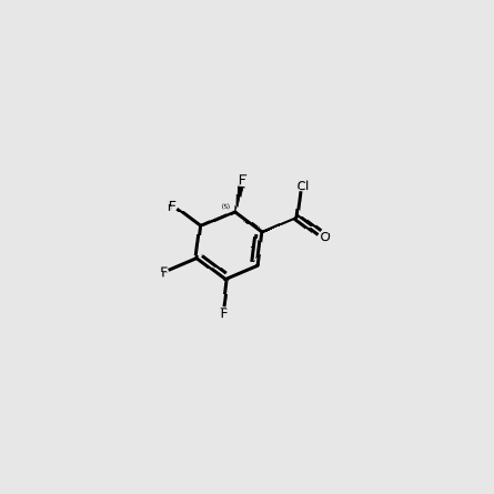 O=C(Cl)C1=CC(F)=C(F)C(F)[C@H]1F